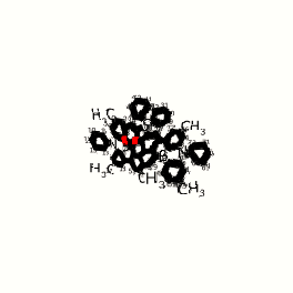 Cc1ccc2c(c1)N(c1ccccc1)c1cc(C)cc3c1B2c1cc2c([Si](c4ccccc4)(c4ccccc4)c4ccccc4)cc4c5c(cc6c(C)cc-3c1c6c25)B1c2ccc(C)cc2N(c2ccccc2)c2cc(C)cc-4c21